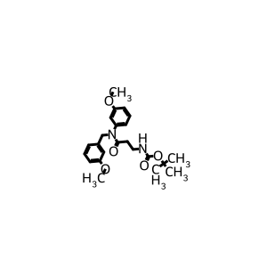 COc1cccc(CN(C(=O)CCNC(=O)OC(C)(C)C)c2cccc(OC)c2)c1